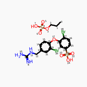 CCCOS(=O)(=O)O.N=C(N)NCc1ccc(Oc2cc(S(=O)(=O)O)ccc2Br)c(Br)c1